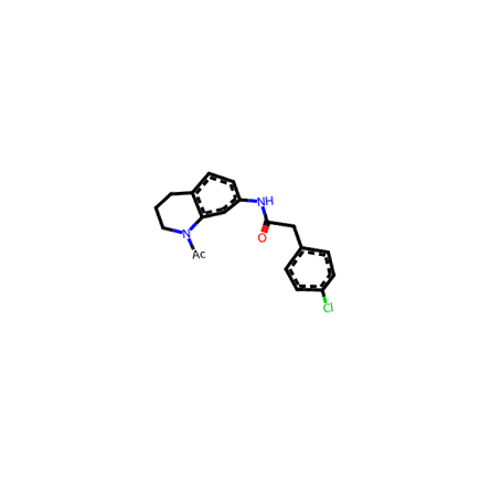 CC(=O)N1CCCc2ccc(NC(=O)Cc3ccc(Cl)cc3)cc21